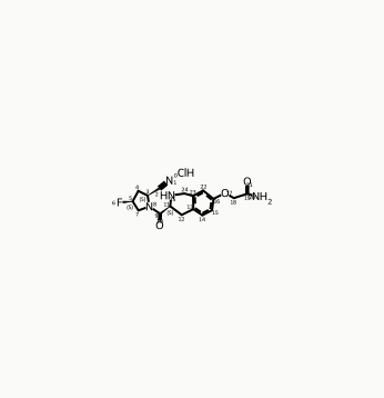 Cl.N#C[C@@H]1C[C@H](F)CN1C(=O)[C@@H]1Cc2ccc(OCC(N)=O)cc2CN1